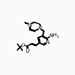 CN1CCN(Cc2cc(C=CC(=O)OC(C)(C)C)cnc2N)CC1